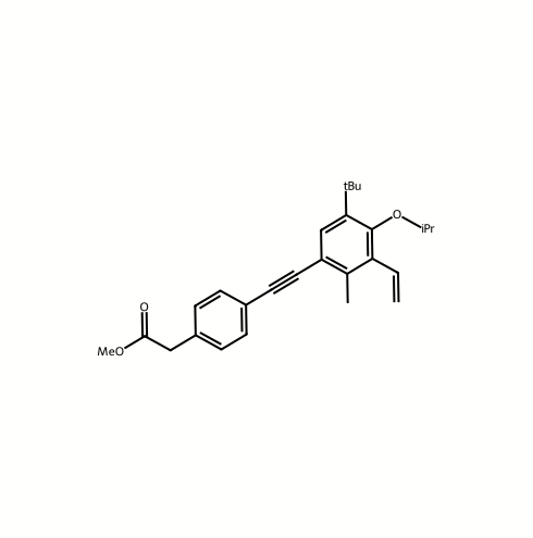 C=Cc1c(C)c(C#Cc2ccc(CC(=O)OC)cc2)cc(C(C)(C)C)c1OC(C)C